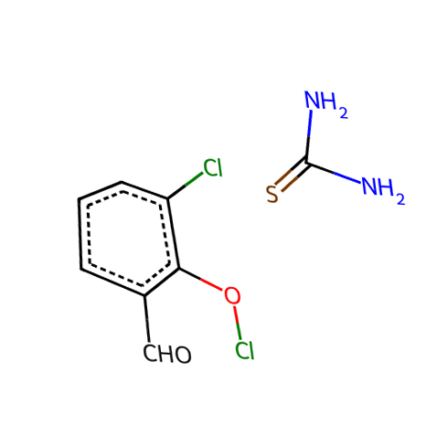 NC(N)=S.O=Cc1cccc(Cl)c1OCl